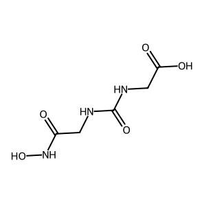 O=C(O)CNC(=O)NCC(=O)NO